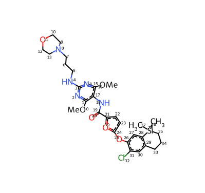 COc1nc(NCCCN2CCOCC2)nc(OC)c1NC(=O)c1ccc(Oc2cc3c(cc2Cl)CCC[Si]3(C)C)o1